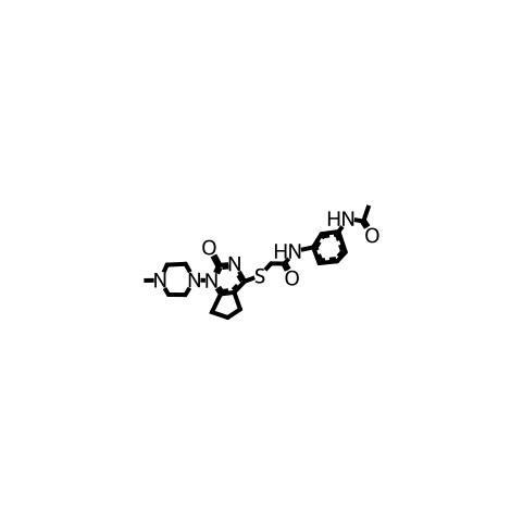 CC(=O)Nc1cccc(NC(=O)CSc2nc(=O)n(N3CCN(C)CC3)c3c2CCC3)c1